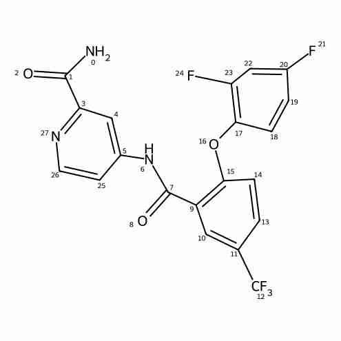 NC(=O)c1cc(NC(=O)c2cc(C(F)(F)F)ccc2Oc2ccc(F)cc2F)ccn1